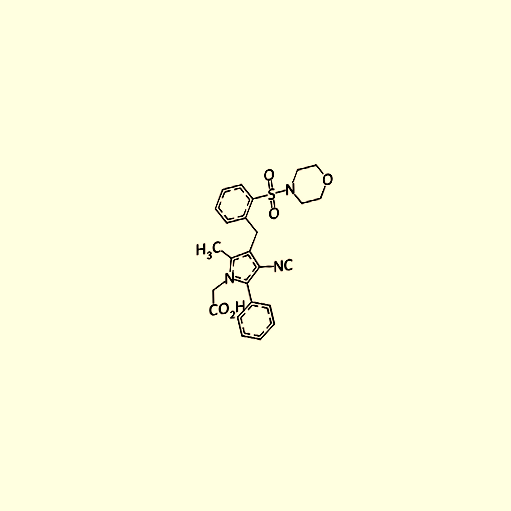 [C-]#[N+]c1c(Cc2ccccc2S(=O)(=O)N2CCOCC2)c(C)n(CC(=O)O)c1-c1ccccc1